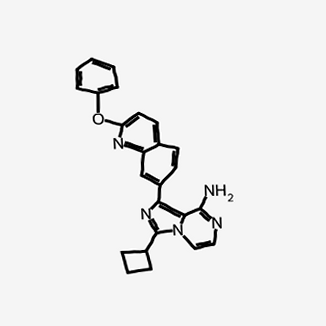 Nc1nccn2c(C3CCC3)nc(-c3ccc4ccc(Oc5ccccc5)nc4c3)c12